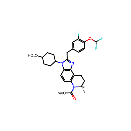 COC(=O)N1c2ccc3c(nc(Cc4ccc(OC(F)F)c(F)c4)n3C3CCC(C(=O)O)CC3)c2CC[C@@H]1C